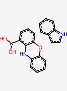 OB(O)c1cccc2c1Nc1ccccc1O2.c1ccc2[nH]ccc2c1